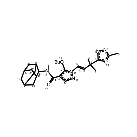 Cc1nnc(C(C)(C)/C=C/n2ncc(C(=O)NC3C4CC5CC(C4)CC3C5)c2OCC(C)C)o1